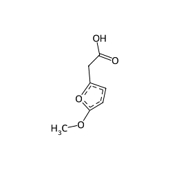 COc1ccc(CC(=O)O)o1